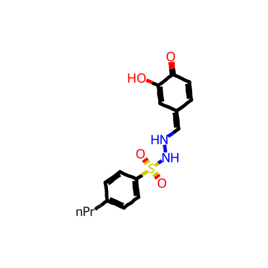 CCCc1ccc(S(=O)(=O)NN/C=C2/C=CC(=O)C(O)=C2)cc1